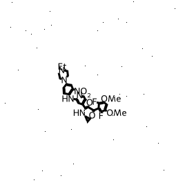 CCN1CCN(c2ccc(Nc3cc4c(NC5CC5)c(C(=O)c5c(F)c(OC)cc(OC)c5F)oc4cn3)c([N+](=O)[O-])c2)CC1